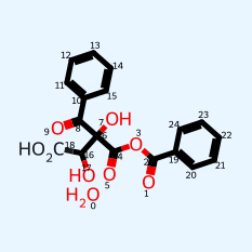 O.O=C(OC(=O)C(O)(C(=O)c1ccccc1)C(O)C(=O)O)c1ccccc1